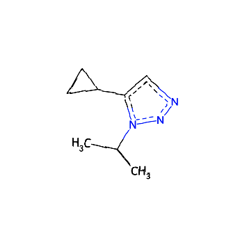 CC(C)n1nncc1C1CC1